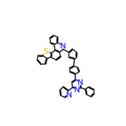 c1ccc(-c2nc(-c3ccc(-c4cccc(-c5nc6ccccc6c6c5ccc5c7ccccc7sc56)c4)cc3)cc(-c3ccccn3)n2)cc1